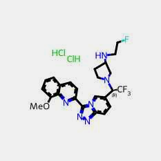 COc1cccc2ccc(-c3nnc4ccc([C@@H](N5CCC(NCCF)C5)C(F)(F)F)cn34)nc12.Cl.Cl